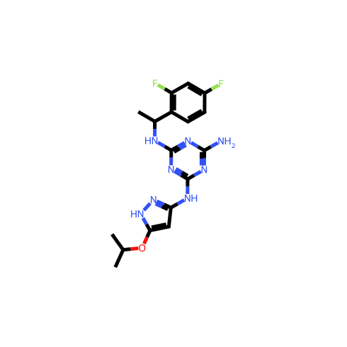 CC(C)Oc1cc(Nc2nc(N)nc(NC(C)c3ccc(F)cc3F)n2)n[nH]1